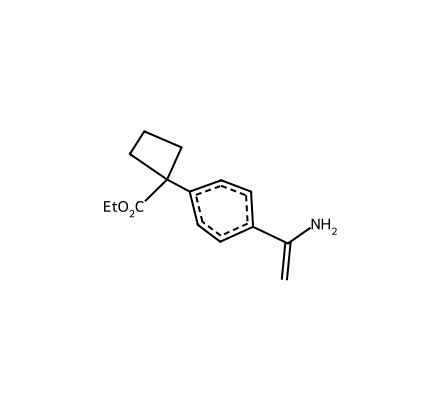 C=C(N)c1ccc(C2(C(=O)OCC)CCC2)cc1